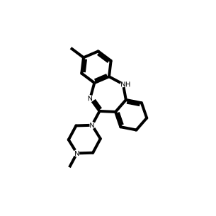 Cc1ccc2c(c1)N=C(N1CCN(C)CC1)C1=CCCC=C1N2